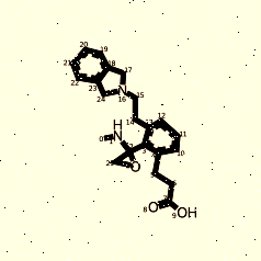 CNC1(c2c(CCC(=O)O)cccc2CCN2Cc3ccccc3C2)CO1